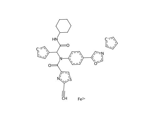 C#Cc1nc(C(=O)N(c2ccc(-c3cnco3)cc2)C(C(=O)NC2CCCCC2)c2cc[cH-]c2)cs1.[Fe+2].c1cc[cH-]c1